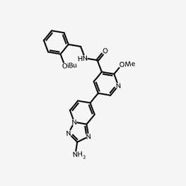 COc1ncc(-c2ccn3nc(N)nc3c2)cc1C(=O)NCc1ccccc1OCC(C)C